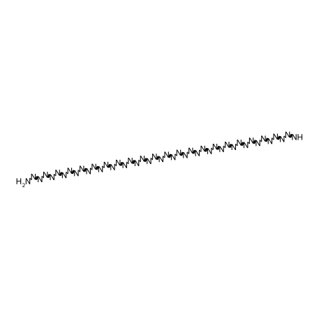 N=N/N=N/N=N/N=N/N=N/N=N/N=N/N=N/N=N/N=N/N=N/N=N/N=N/N=N/N=N/N=N/N=N/N=N/N=N/N=N/N=N/N=N/N